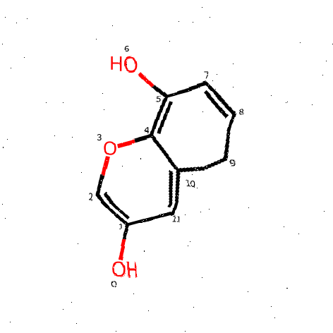 OC1=COC2=C(O)C=CCC2=C1